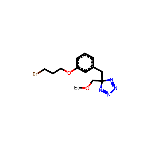 CCOCC1(Cc2cccc(OCCCBr)c2)N=NN=N1